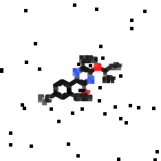 CCCC(CCC)Oc1nc(Br)c(-c2ccc(C(F)(F)F)cc2OC)nc1NC